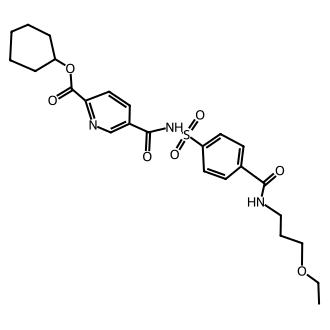 CCOCCCNC(=O)c1ccc(S(=O)(=O)NC(=O)c2ccc(C(=O)OC3CCCCC3)nc2)cc1